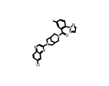 Cc1ccc(-n2nccn2)c(C(=O)N2CC3CC(C2)CN(c2cnc4ccc(Cl)cc4n2)C3)c1